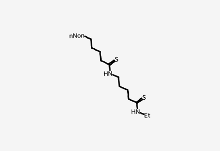 CCCCCCCCCCCCCC(=S)NCCCCC(=S)NCC